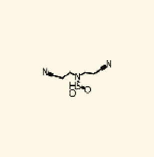 N#CCCN(CCC#N)[SH](=O)=O